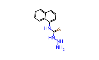 NNNC(=S)Nc1cccc2ccccc12